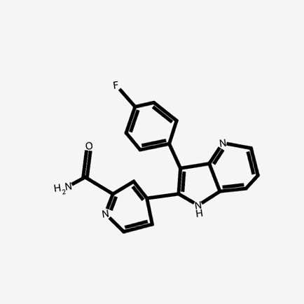 NC(=O)c1cc(-c2[nH]c3cccnc3c2-c2ccc(F)cc2)ccn1